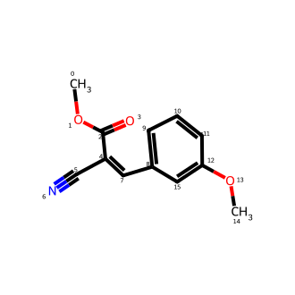 COC(=O)C(C#N)=Cc1cc[c]c(OC)c1